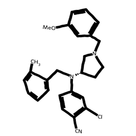 COc1cccc(CN2CC[C@H](N(Cc3ccccc3C)c3ccc(C#N)c(Cl)c3)C2)c1